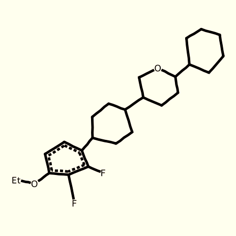 CCOc1ccc(C2CCC(C3CCC(C4CCCCC4)OC3)CC2)c(F)c1F